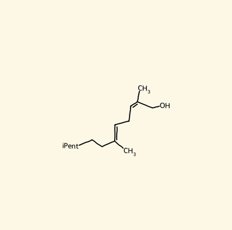 CCCC(C)CCC(C)=CCC=C(C)CO